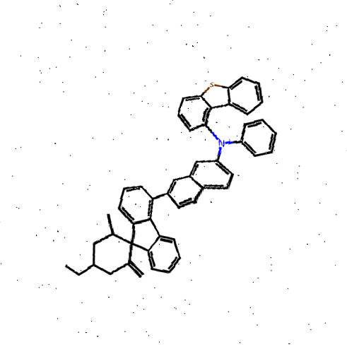 C=C1CC(CC)CC(C)C12c1ccccc1-c1c(-c3ccc4ccc(N(c5ccccc5)c5cccc6sc7ccccc7c56)cc4c3)cccc12